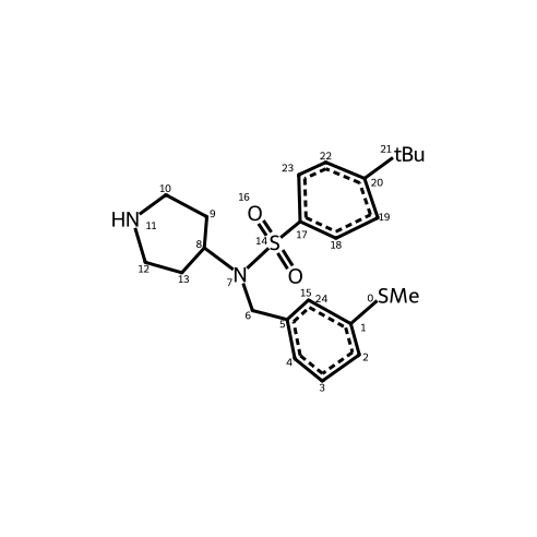 CSc1cccc(CN(C2CCNCC2)S(=O)(=O)c2ccc(C(C)(C)C)cc2)c1